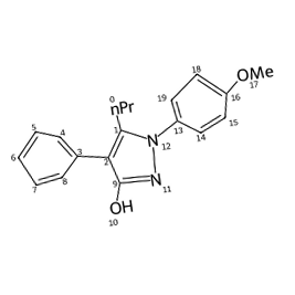 CCCc1c(-c2ccccc2)c(O)nn1-c1ccc(OC)cc1